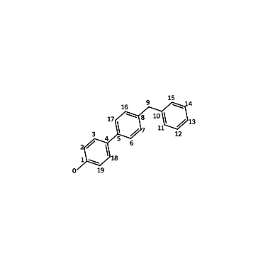 Cc1ccc(-c2ccc(Cc3ccccc3)cc2)cc1